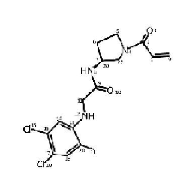 C=CC(=O)N1CC[C@H](NC(=O)CNc2cc(Cl)c(Cl)cc2C)C1